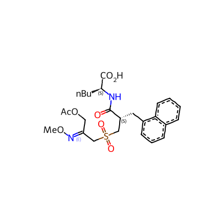 CCCC[C@H](NC(=O)[C@H](Cc1cccc2ccccc12)CS(=O)(=O)C/C(COC(C)=O)=N/OC)C(=O)O